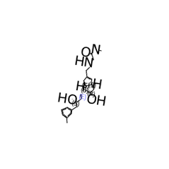 Cc1cccc(C[C@H](O)/C=C/[C@@H]2[C@H]3CC(CCNCC(=O)N(C)C)=C[C@H]3C[C@H]2O)c1